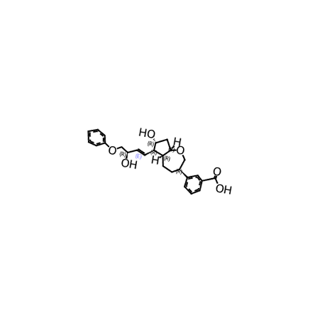 O=C(O)c1cccc([C@H]2CC[C@@H]3[C@@H](/C=C/[C@@H](O)COc4ccccc4)[C@H](O)C[C@@H]3OC2)c1